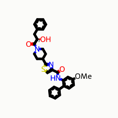 COc1ccc(-c2ccccc2)c(NC(=O)c2csc(C3CCN(C(=O)[C@H](O)Cc4ccccc4)CC3)n2)c1